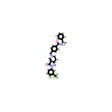 C[C@@H](NC(=O)c1ccc(CN2C=C3C(=O)N(c4ccc(F)c(C(F)(F)F)c4)N=C3CC2)cc1)c1ccccc1